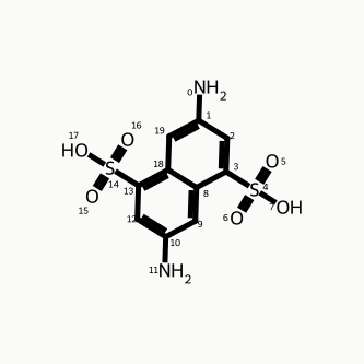 Nc1cc(S(=O)(=O)O)c2cc(N)cc(S(=O)(=O)O)c2c1